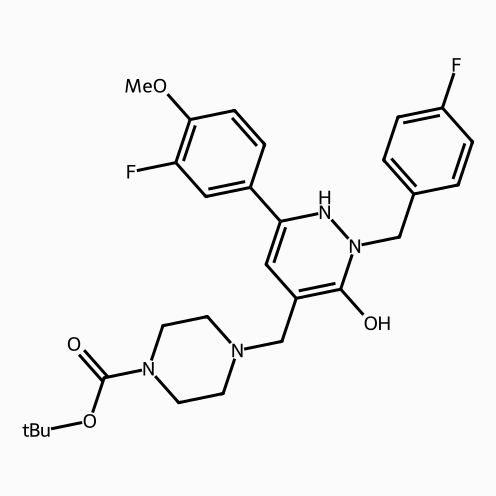 COc1ccc(C2=CC(CN3CCN(C(=O)OC(C)(C)C)CC3)=C(O)N(Cc3ccc(F)cc3)N2)cc1F